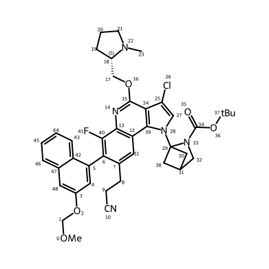 COCOc1cc(-c2c(CCC#N)cc3c(nc(OC[C@@H]4CCCN4C)c4c(Cl)cn(C56CC(CN5C(=O)OC(C)(C)C)C6)c43)c2F)c2ccccc2c1